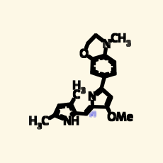 COC1=CC(c2ccc3c(c2)OCCN3C)=N/C1=C\c1[nH]c(C)cc1C